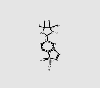 CC1(C)OB(c2ccc3c(c2)C=CS3(=O)=O)OC1(C)C